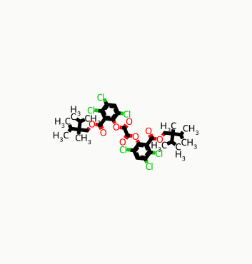 CC(C)C(C)(COC(=O)c1c(Cl)c(Cl)cc(Cl)c1OC(=O)C(=O)Oc1c(Cl)cc(Cl)c(Cl)c1C(=O)OCC(C)(C(C)C)C(C)C)C(C)C